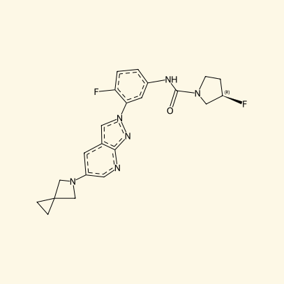 O=C(Nc1ccc(F)c(-n2cc3cc(N4CC5(CC5)C4)cnc3n2)c1)N1CC[C@@H](F)C1